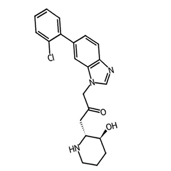 O=C(C[C@H]1NCCC[C@@H]1O)Cn1cnc2ccc(-c3ccccc3Cl)cc21